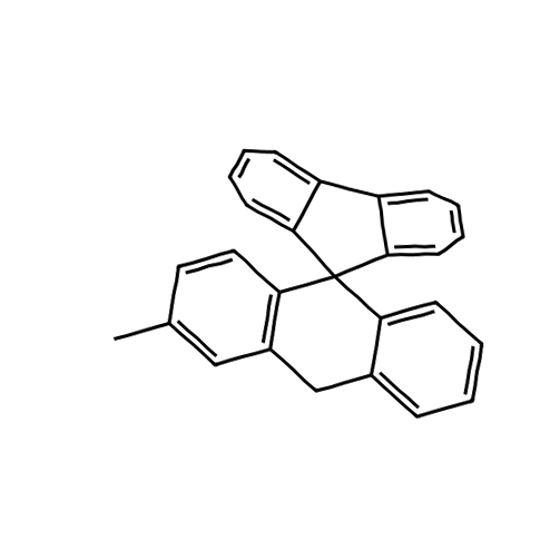 Cc1ccc2c(c1)Cc1ccccc1C21c2ccccc2-c2ccccc21